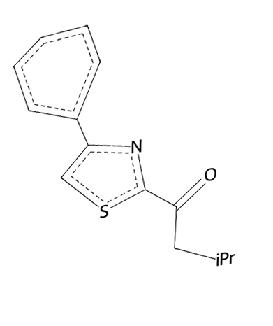 CC(C)CC(=O)c1nc(-c2ccccc2)cs1